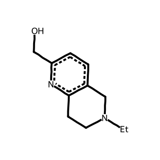 CCN1CCc2nc(CO)ccc2C1